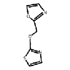 c1coc(COc2nccs2)n1